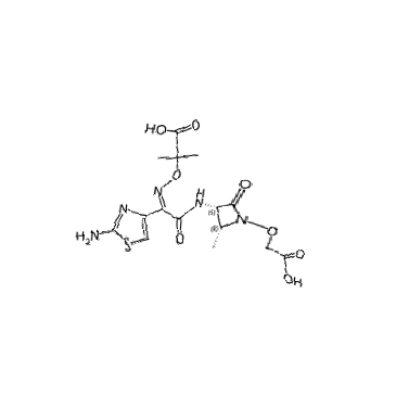 C[C@@H]1[C@H](NC(=O)C(=NOC(C)(C)C(=O)O)c2csc(N)n2)C(=O)N1OCC(=O)O